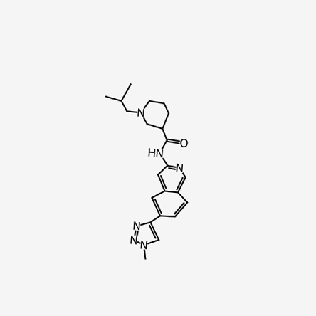 CC(C)CN1CCCC(C(=O)Nc2cc3cc(-c4cn(C)nn4)ccc3cn2)C1